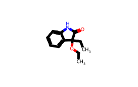 CCOC1(CC)C(=O)Nc2ccccc21